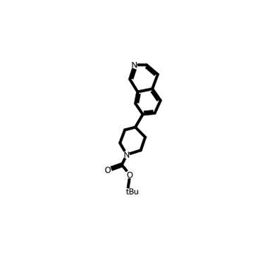 CC(C)(C)OC(=O)N1CCC(c2ccc3ccncc3c2)CC1